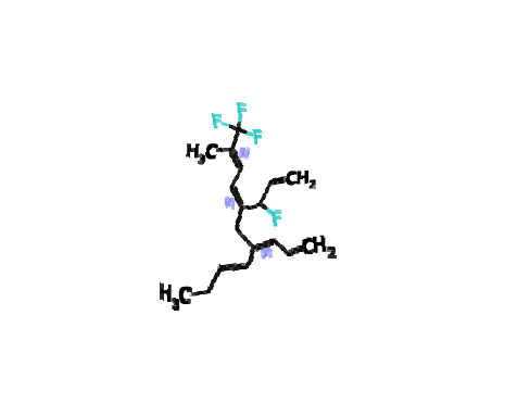 C=C/C=C(\C=CCC)C/C(=C/C=C(\C)C(F)(F)F)C(F)C=C